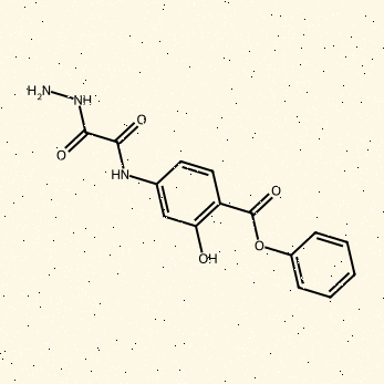 NNC(=O)C(=O)Nc1ccc(C(=O)Oc2ccccc2)c(O)c1